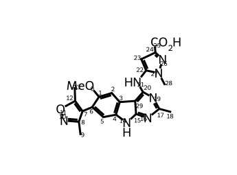 COc1cc2c(cc1-c1c(C)noc1C)[nH]c1nc(C)nc(Nc3cc(C(=O)O)nn3C)c12